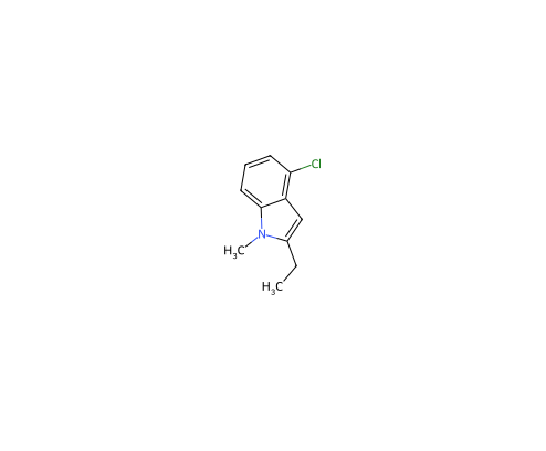 CCc1cc2c(Cl)cccc2n1C